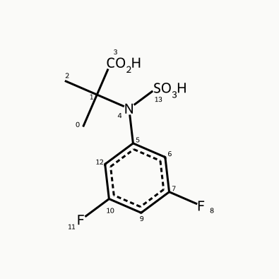 CC(C)(C(=O)O)N(c1cc(F)cc(F)c1)S(=O)(=O)O